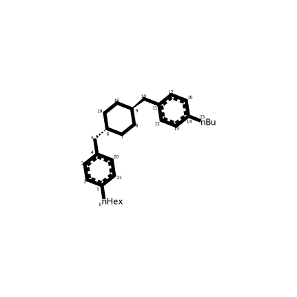 CCCCCCc1ccc(C[C@H]2CC[C@H](Cc3ccc(CCCC)cc3)CC2)cc1